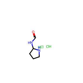 Cl.Cl.O=CNC1CCCN1